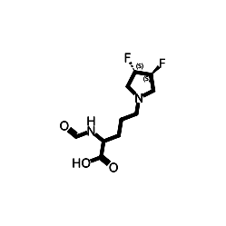 O=CNC(CCCN1C[C@H](F)[C@@H](F)C1)C(=O)O